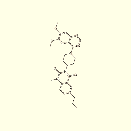 CCCc1ccc2c(c1)c(=O)n(C1CCN(c3ncnc4cc(OC)c(OC)cc34)CC1)c(=O)n2C